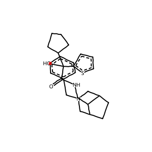 O=C(NCC1C2CCC1CN(Cc1ccccc1)C2)C(O)(c1cccs1)C1CCCC1